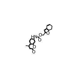 Cc1cc(=O)oc2cc(NC(=O)OCc3cc4c(o3)CCC=C4)ccc12